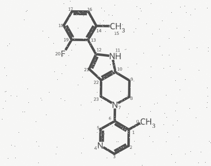 Cc1ccncc1N1CCc2[nH]c(-c3c(C)cccc3F)cc2C1